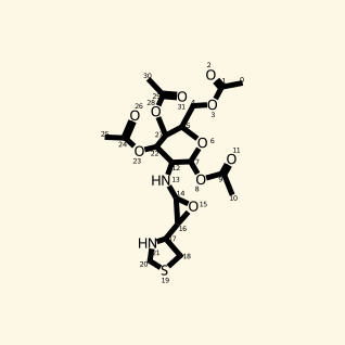 CC(=O)OCC1OC(OC(C)=O)C(NC2OC2C2CSCN2)C(OC(C)=O)C1OC(C)=O